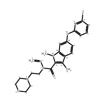 C=NN(CCN1CCOCC1)C(=O)c1c(C)c2ccc(Oc3cccc(F)n3)cc2n1C